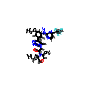 Cc1cc(Nc2nccc(C(F)(F)F)n2)cc(-c2cn(CC(=O)N3[C@H](C)COC[C@H]3C)nn2)c1